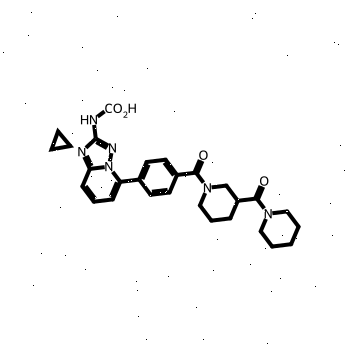 C1CC1.O=C(O)Nc1nc2cccc(-c3ccc(C(=O)N4CCCC(C(=O)N5CCCCC5)C4)cc3)n2n1